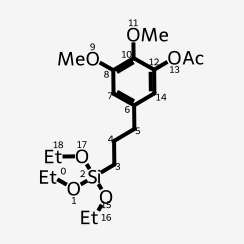 CCO[Si](CCCc1cc(OC)c(OC)c(OC(C)=O)c1)(OCC)OCC